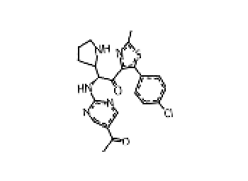 CC(=O)c1cnc(N[C@H](C(=O)c2nc(C)sc2-c2ccc(Cl)cc2)C2CCCN2)nc1